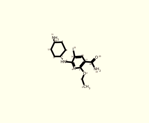 CCOc1nc(N[C@H]2CC[C@H](N)CC2)c(I)cc1C(N)=O